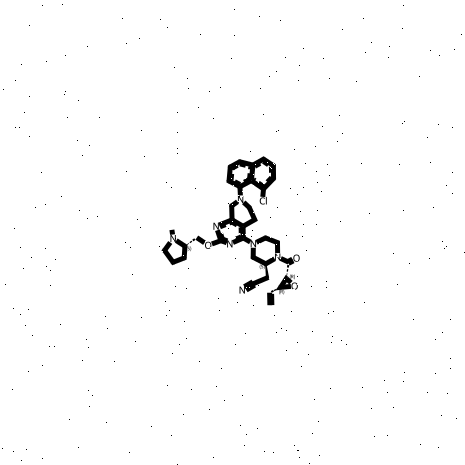 C=C[C@H]1O[C@H]1C(=O)N1CCN(c2nc(OC[C@@H]3CCCN3C)nc3c2CCN(c2cccc4cccc(Cl)c24)C3)C[C@@H]1CC#N